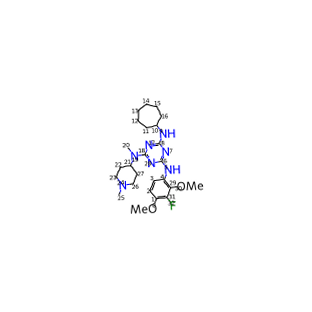 COc1ccc(Nc2nc(NC3CCCCCC3)nc(N(C)C3CCN(C)CC3)n2)c(OC)c1F